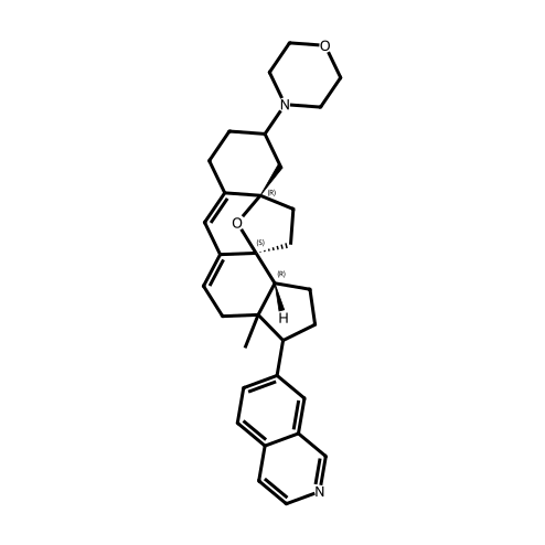 CC12CC=C3C=C4CCC(N5CCOCC5)C[C@]45CC[C@]3(O5)[C@@H]1CCC2c1ccc2ccncc2c1